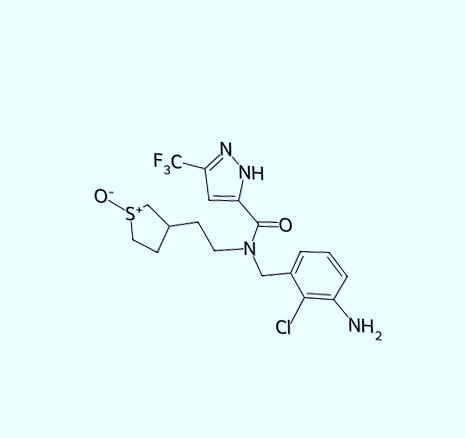 Nc1cccc(CN(CCC2CC[S+]([O-])C2)C(=O)c2cc(C(F)(F)F)n[nH]2)c1Cl